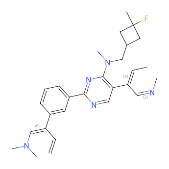 C=C/C(=C\N(C)C)c1cccc(-c2ncc(C(/C=N\C)=C/C)c(N(C)CC3CC(C)(F)C3)n2)c1